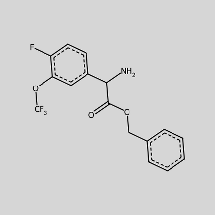 NC(C(=O)OCc1ccccc1)c1ccc(F)c(OC(F)(F)F)c1